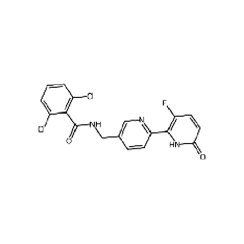 O=C(NCc1ccc(-c2[nH]c(=O)ccc2F)nc1)c1c(Cl)cccc1Cl